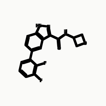 O=C(NC1COC1)c1n[nH]c2ccc(-c3cccc(F)c3F)cc12